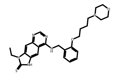 CCn1c(=S)[nH]c2cc3c(NCc4ccccc4OCCCCN4CCOCC4)ncnc3cc21